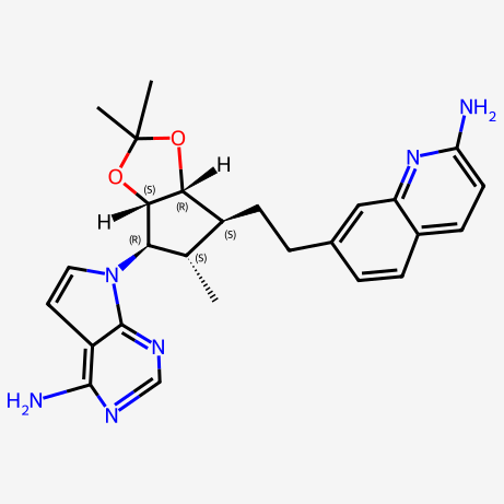 C[C@H]1[C@H](CCc2ccc3ccc(N)nc3c2)[C@H]2OC(C)(C)O[C@H]2[C@@H]1n1ccc2c(N)ncnc21